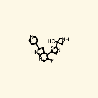 OC1(c2ncc(-c3c(F)cnc4[nH]c(-c5ccncc5)cc34)s2)CNC1